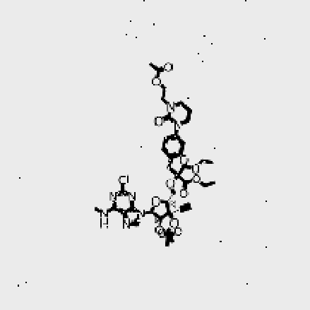 C#C[C@@]1(OC(C)=O)[C@@H](COC(Cc2ccc(N3CCCN(CCOC(C)=O)C3=O)cc2)(C(=O)OCC)C(=O)OCC)OC(n2cnc3c(NC)nc(Cl)nc32)[C@@H]1OC(C)=O